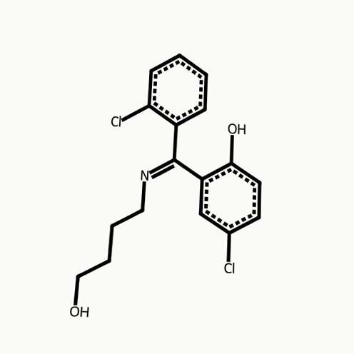 OCCCC/N=C(\c1cc(Cl)ccc1O)c1ccccc1Cl